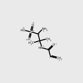 C=CC(=O)NC(C)(C)C(N)S(=O)(=O)O